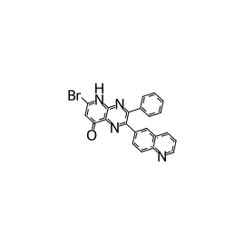 O=c1cc(Br)[nH]c2nc(-c3ccccc3)c(-c3ccc4ncccc4c3)nc12